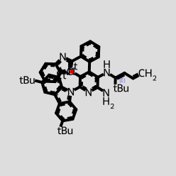 C=C/C=C(/Nc1c(N)nc(-n2c3ccc(C(C)(C)C)cc3c3cc(C(C)(C)C)ccc32)c(N(CC)CC)c1-c1ccccc1-c1nc2ccccc2o1)C(C)(C)C